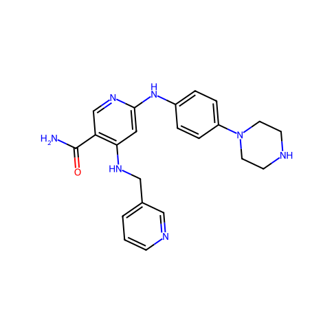 NC(=O)c1cnc(Nc2ccc(N3CCNCC3)cc2)cc1NCc1cccnc1